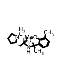 COc1c(C)cccc1C(C)(C)NC(=O)C[C@@H]1CCCN1C